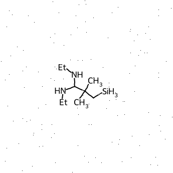 CCNC(NCC)C(C)(C)C[SiH3]